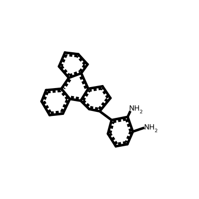 Nc1cccc(-c2ccc3c4ccccc4c4ccccc4c3c2)c1N